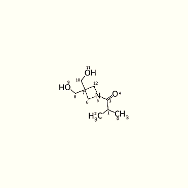 CC(C)C(=O)N1CC(CO)(CO)C1